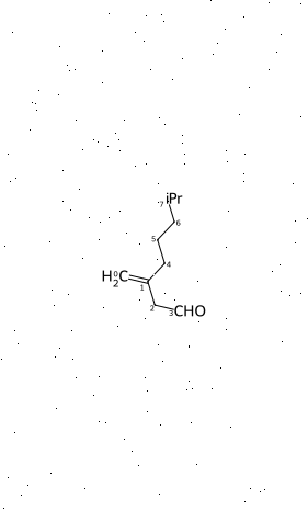 C=C(CC=O)CCCC(C)C